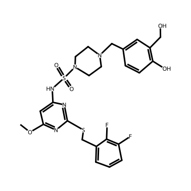 COc1cc(NS(=O)(=O)N2CCN(Cc3ccc(O)c(CO)c3)CC2)nc(SCc2cccc(F)c2F)n1